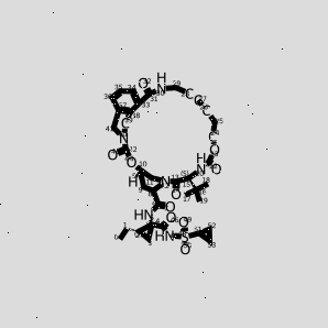 CC[C@H]1C[C@@]1(NC(=O)C1C[C@@H]2CN1C(=O)[C@H](C(C)(C)C)NC(=O)OCCCCCCNC(=O)c1cccc3c1CN(C3)C(=O)O2)C(=O)NS(=O)(=O)C1CC1